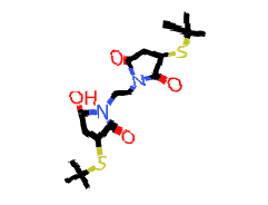 CC(C)(C)SC1CC(=O)N(CCN2C(=O)C(SC(C)(C)C)CC2O)C1=O